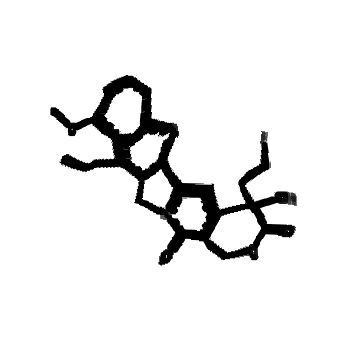 CCc1c2c(nc3cccc(OC)c13)-c1cc3c(c(=O)n1C2)COC(=O)C3(O)CCF